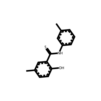 Cc1cccc(NC(=S)c2cc(C)ccc2O)c1